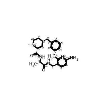 Cc1nc(N)ccc1CNC(=O)[C@H](C)NC(=O)[C@@H]1C[C@H](Cc2ccccc2)CCN1